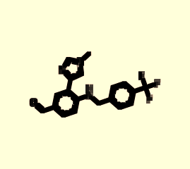 Cn1cnc(-c2cc(C=O)ccc2NCc2ccc(C(F)(F)F)cc2)c1